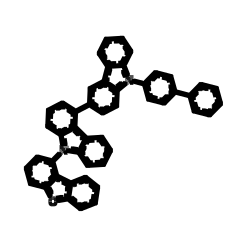 c1ccc(-c2ccc(-n3c4ccccc4c4cc(-c5cccc6c5c5ccccc5n6-c5cccc6oc7ccccc7c56)ccc43)cc2)cc1